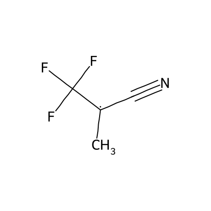 C[C](C#N)C(F)(F)F